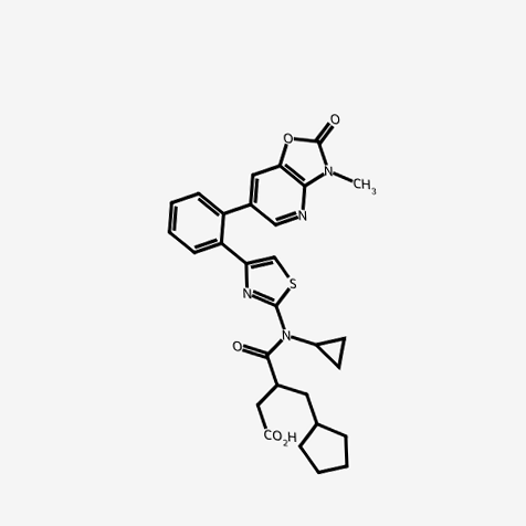 Cn1c(=O)oc2cc(-c3ccccc3-c3csc(N(C(=O)C(CC(=O)O)CC4CCCC4)C4CC4)n3)cnc21